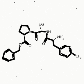 CCC(C)[C@H](NC(=O)[C@H](N)Cc1ccc(C(F)(F)F)cc1)C(=O)N1CCC[C@@H]1C(=O)OCc1ccccc1